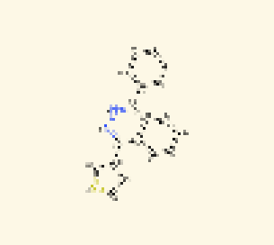 c1ccc(-c2nnc(-c3ccsc3)c3ccccc23)cc1